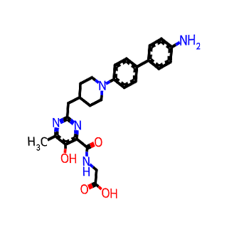 Cc1nc(CC2CCN(c3ccc(-c4ccc(N)cc4)cc3)CC2)nc(C(=O)NCC(=O)O)c1O